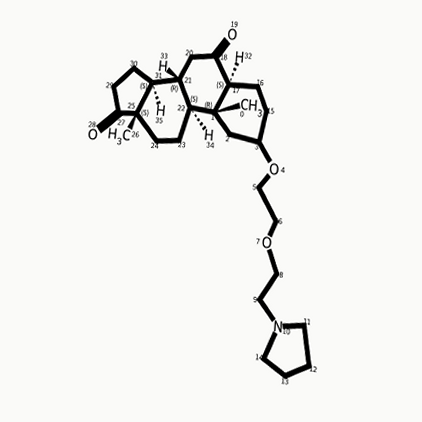 C[C@]12CC(OCCOCCN3CCCC3)CC[C@@H]1C(=O)C[C@@H]1[C@@H]2CC[C@]2(C)C(=O)CC[C@@H]12